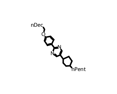 CCCCCCCCCCCOc1ccc(-c2ncc(C3CCC(CCCCC)CC3)cn2)cc1